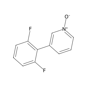 [O-][n+]1cccc(-c2c(F)cccc2F)c1